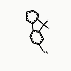 Nc1ccc2c(c1)C(F)(F)c1ccccc1-2